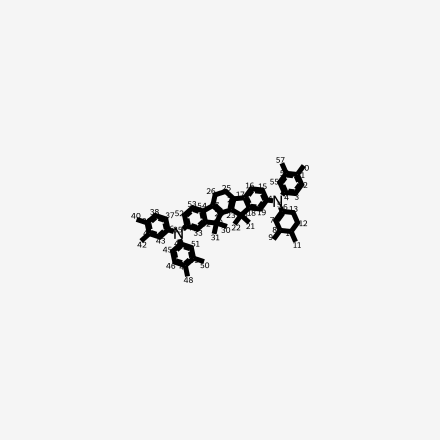 Cc1ccc(N(C2=CC(C)C(C)CC2)c2ccc3c(c2)C(C)(C)C2=C3CCC3=C2C(C)(C)c2cc(N(c4ccc(C)c(C)c4)c4ccc(C)c(C)c4)ccc23)cc1C